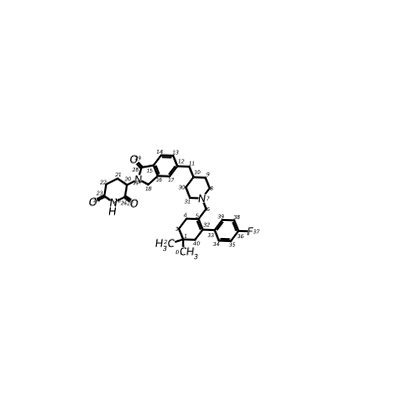 CC1(C)CCC(CN2CCC(Cc3ccc4c(c3)CN(C3CCC(=O)NC3=O)C4=O)CC2)=C(c2ccc(F)cc2)C1